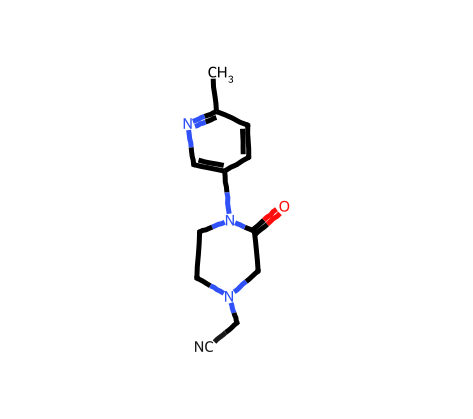 Cc1ccc(N2CCN(CC#N)CC2=O)cn1